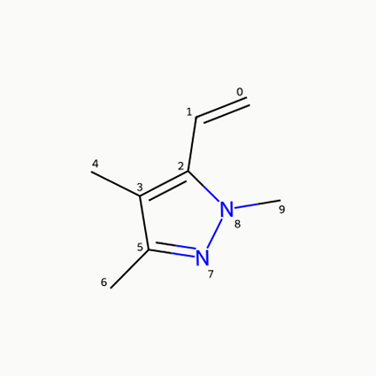 C=Cc1c(C)c(C)nn1C